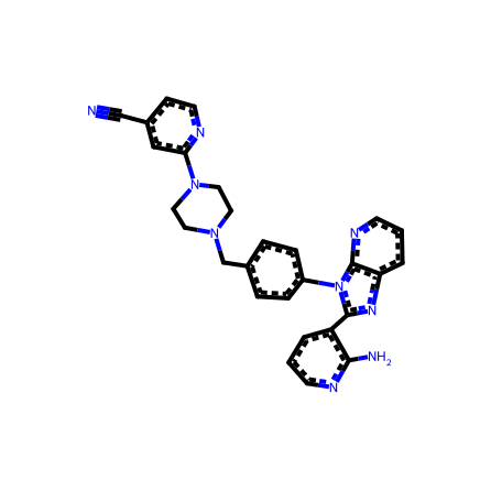 N#Cc1ccnc(N2CCN(Cc3ccc(-n4c(-c5cccnc5N)nc5cccnc54)cc3)CC2)c1